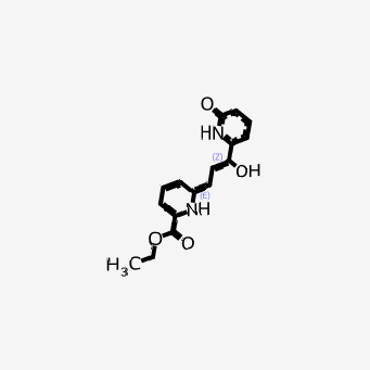 CCOC(=O)C1=CC=C/C(=C\C=C(/O)c2cccc(=O)[nH]2)N1